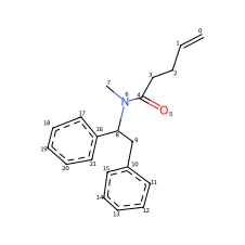 C=CCCC(=O)N(C)C(Cc1ccccc1)c1ccccc1